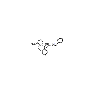 Cc1cccc2c1CCc1ccccc1C2(O)CCC/N=C/c1ccccc1